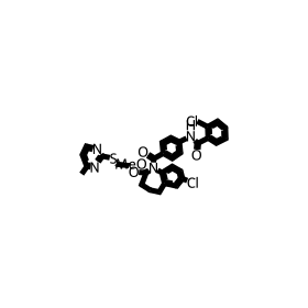 COC1(OCCSc2nccc(C)n2)CCCc2cc(Cl)ccc2N1C(=O)c1ccc(NC(=O)c2ccccc2Cl)cc1